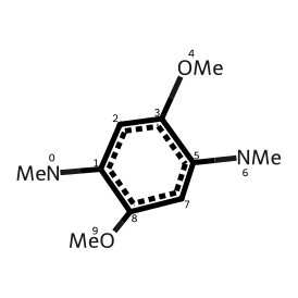 CNc1cc(OC)c(NC)cc1OC